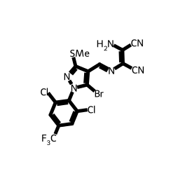 CSc1nn(-c2c(Cl)cc(C(F)(F)F)cc2Cl)c(Br)c1C=NC(C#N)=C(N)C#N